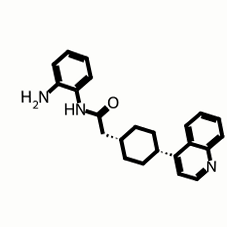 Nc1ccccc1NC(=O)C[C@H]1CC[C@@H](c2ccnc3ccccc32)CC1